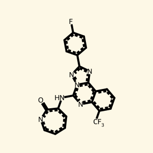 O=c1nccccc1Nc1nc2c(C(F)(F)F)cccc2c2nc(-c3ccc(F)cc3)nn12